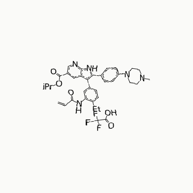 C=CC(=O)Nc1cc(-c2c(-c3ccc(N4CCN(C)CC4)cc3)[nH]c3ncc(C(=O)OC(C)C)cc23)ccc1CC.O=C(O)C(F)(F)F